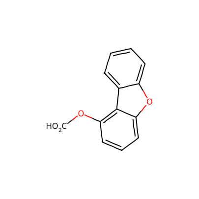 O=C(O)Oc1cccc2oc3ccccc3c12